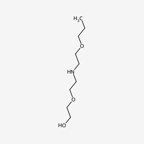 CCCOCCNCCOCCO